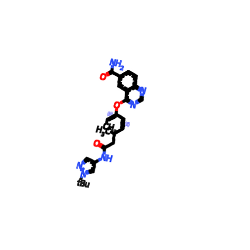 C/C=C(\C=C/C(C)CC(=O)Nc1cnn(C(C)(C)C)c1)Oc1ncnc2ccc(C(N)=O)cc12